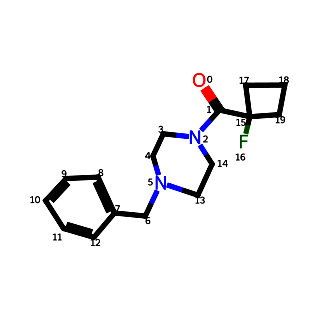 O=C(N1CCN(Cc2ccccc2)CC1)C1(F)CCC1